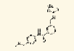 CN(C)Cc1ccc(NC(=O)c2cccc(CNC(=O)OC(C)(C)C)c2)cc1